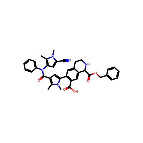 Cc1c(N(C(=O)c2cc(-c3cc4c(cc3C(=O)O)C(C(=O)OCc3ccccc3)NCC4)n(C)c2C)c2ccccc2)cc(C#N)n1C